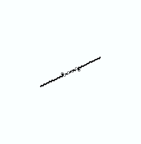 CCCCCCCCCCCCCCCCCC(=O)OCCOCCOCCOC(=O)CCCCCCCCCCCCCCCCC